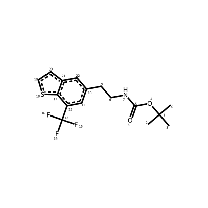 CC(C)(C)OC(=O)NCCc1cc(C(F)(F)F)c2sccc2c1